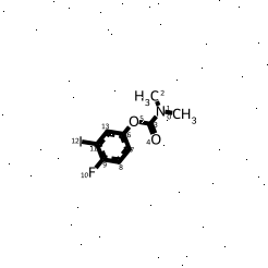 CN(C)C(=O)Oc1ccc(F)c(I)c1